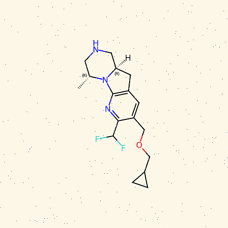 C[C@@H]1CNC[C@H]2Cc3cc(COCC4CC4)c(C(F)F)nc3N21